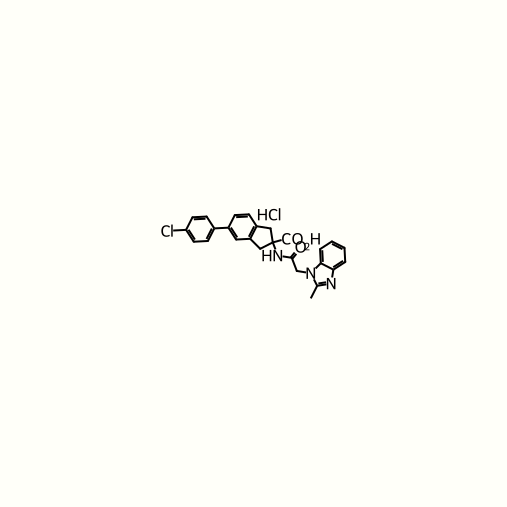 Cc1nc2ccccc2n1CC(=O)NC1(C(=O)O)Cc2ccc(-c3ccc(Cl)cc3)cc2C1.Cl